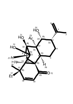 C=C(C)[C@@H]1CC[C@H]2[C@@]34CO[C@@](O)([C@@H](O)[C@@H]3[C@](C)(CC)C=CC4=O)[C@@]2(C(C)=O)[C@@H]1O